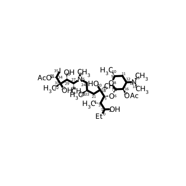 CCC(O)[C@H](C)[C@@H](O[C@@H]1O[C@H](C)CC(N(C)C)[C@H]1OC(C)=O)[C@](C)(O)C[C@@H](C)CN(C)[C@H](C)[C@@H](O)[C@](C)(O)[C@@H](I)OC(C)=O